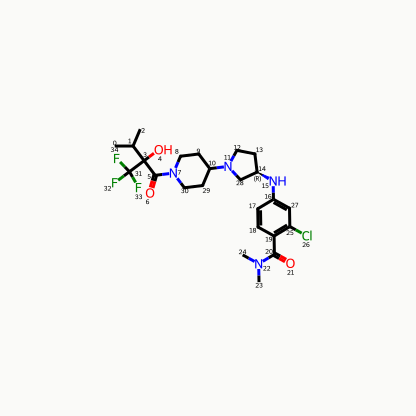 CC(C)C(O)(C(=O)N1CCC(N2CC[C@@H](Nc3ccc(C(=O)N(C)C)c(Cl)c3)C2)CC1)C(F)(F)F